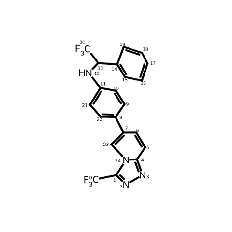 FC(F)(F)c1nnc2ccc(-c3ccc(NC(c4ccccc4)C(F)(F)F)cc3)cn12